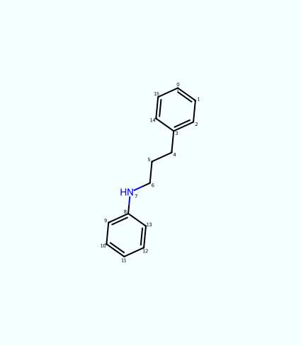 [c]1ccc(CCCNc2ccccc2)cc1